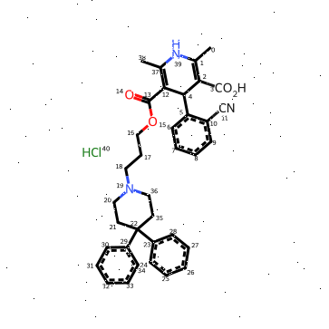 CC1=C(C(=O)O)C(c2ccccc2C#N)C(C(=O)OCCCN2CCC(c3ccccc3)(c3ccccc3)CC2)=C(C)N1.Cl